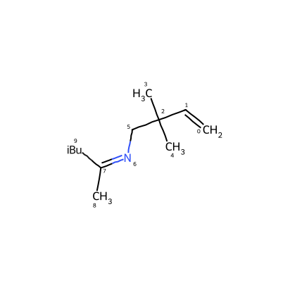 C=CC(C)(C)C/N=C(/C)C(C)CC